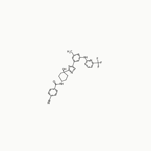 Cc1cc(Nc2nccc(C(F)(F)F)n2)cc(-c2cnc([C@]3(O)CC[C@H](NC(=O)c4ccc(C#N)cc4)CC3)s2)c1